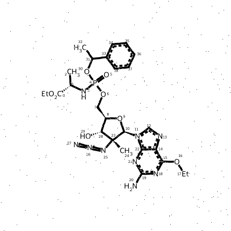 CCOC(=O)[C@H](C)NP(=O)(OC[C@H]1O[C@@H](n2cnc3c(OCC)nc(N)nc32)[C@](C)(N=[N+]=[N-])[C@@H]1O)OC(C)c1ccccc1